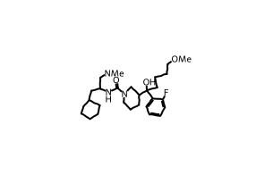 CNCC(CC1CCCCC1)NC(=O)N1CCCC(C(O)(CCCCOC)c2ccccc2F)C1